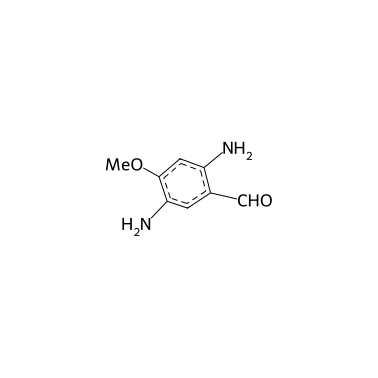 COc1cc(N)c(C=O)cc1N